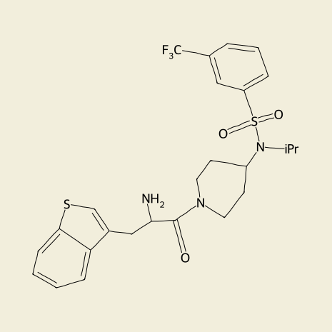 CC(C)N(C1CCN(C(=O)C(N)Cc2csc3ccccc23)CC1)S(=O)(=O)c1cccc(C(F)(F)F)c1